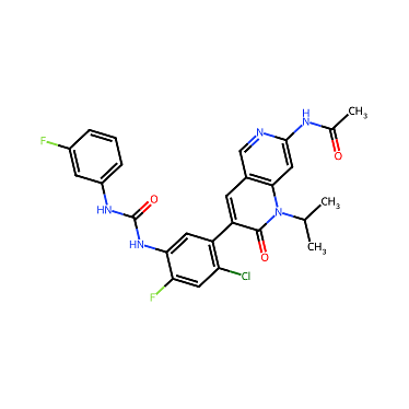 CC(=O)Nc1cc2c(cn1)cc(-c1cc(NC(=O)Nc3cccc(F)c3)c(F)cc1Cl)c(=O)n2C(C)C